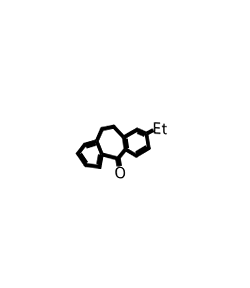 CCc1ccc2c(c1)CCc1ccccc1C2=O